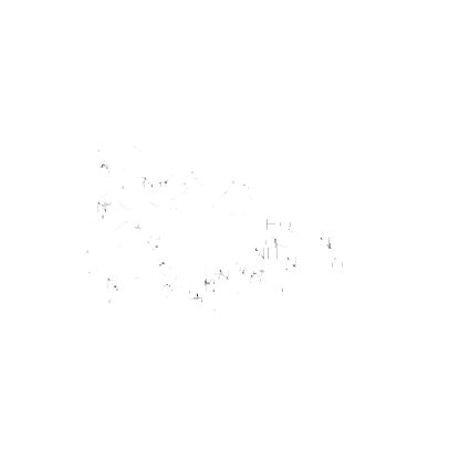 C=CC(=O)N1CC[C@](O)(C(=O)N(C)[C@H](C(=O)N[C@H]2Cc3cccc(c3)-c3ccc4c(c3)c(c(-c3cc(C5CCN(C)CC5)cnc3[C@H](C)OC)n4CC)CC(C)(C)COC(=O)[C@@H]3CCCN(N3)C2=O)C(C)C)C1